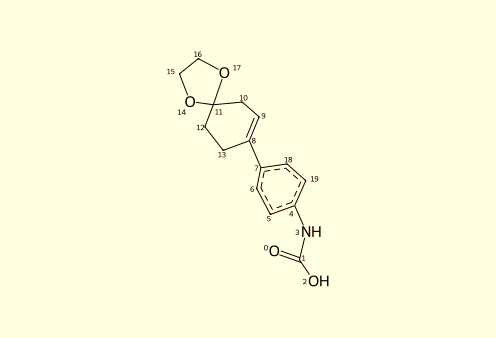 O=C(O)Nc1ccc(C2=CCC3(CC2)OCCO3)cc1